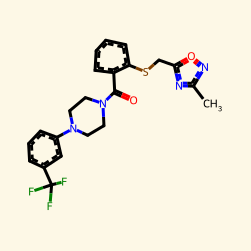 Cc1noc(CSc2ccccc2C(=O)N2CCN(c3cccc(C(F)(F)F)c3)CC2)n1